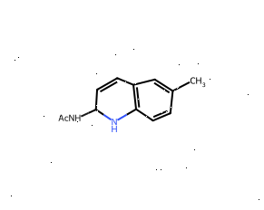 CC(=O)NC1C=Cc2cc(C)ccc2N1